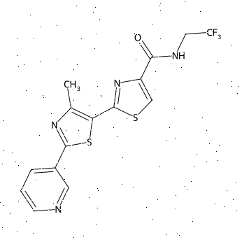 Cc1nc(-c2cccnc2)sc1-c1nc(C(=O)NCC(F)(F)F)cs1